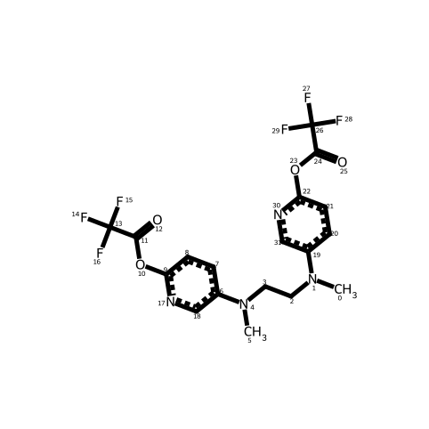 CN(CCN(C)c1ccc(OC(=O)C(F)(F)F)nc1)c1ccc(OC(=O)C(F)(F)F)nc1